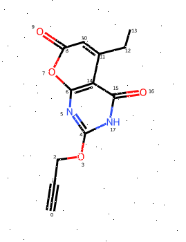 C#CCOc1nc2oc(=O)cc(CC)c2c(=O)[nH]1